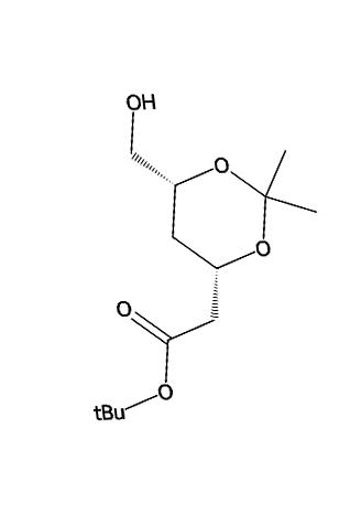 CC(C)(C)OC(=O)C[C@@H]1C[C@H](CO)OC(C)(C)O1